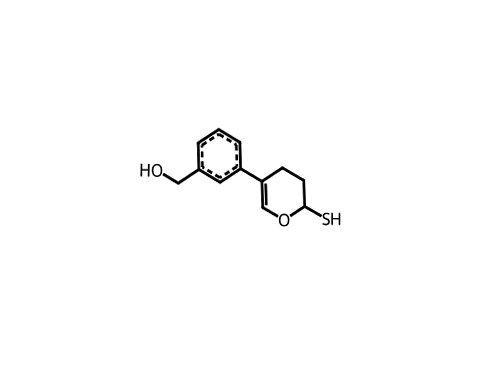 OCc1cccc(C2=COC(S)CC2)c1